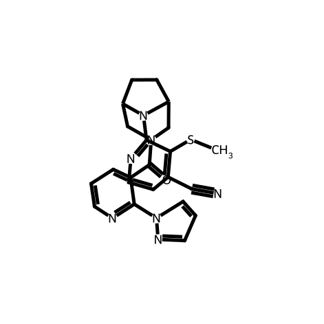 CSc1c(C#N)ccnc1N1C2CCC1CN(C(=O)c1cccnc1-n1cccn1)C2